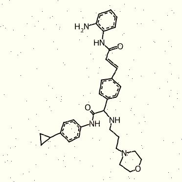 Nc1ccccc1NC(=O)C=Cc1ccc(C(NCCCN2CCOCC2)C(=O)Nc2ccc(C3CC3)cc2)cc1